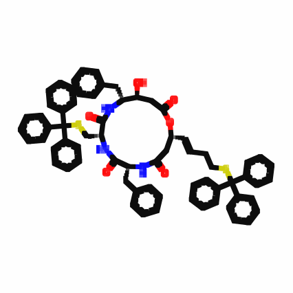 O=C1C[C@@H](C=CCCSC(c2ccccc2)(c2ccccc2)c2ccccc2)OC(=O)C[C@H](O)[C@@H](Cc2ccccc2)NC(=O)[C@@H](CSC(c2ccccc2)(c2ccccc2)c2ccccc2)NC(=O)[C@@H](Cc2ccccc2)N1